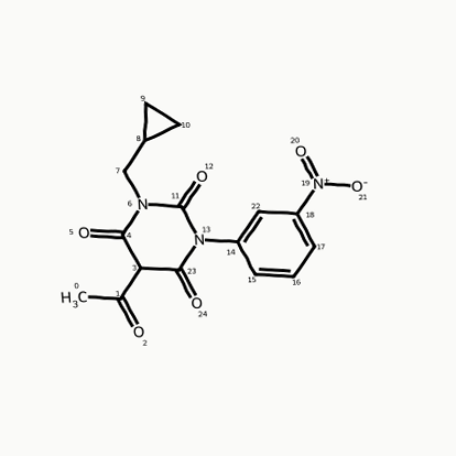 CC(=O)C1C(=O)N(CC2CC2)C(=O)N(c2cccc([N+](=O)[O-])c2)C1=O